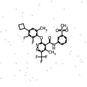 Cc1cc(C2CCC2)c(F)c(F)c1Oc1nnc(C(F)(F)F)c(C)c1C(=O)Nc1cccc(S(C)(=O)=O)c1